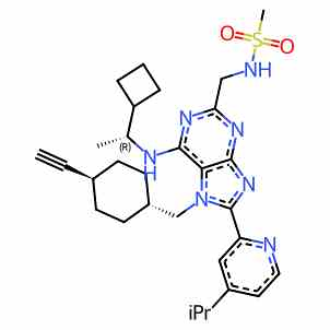 C#C[C@H]1CC[C@H](Cn2c(-c3cc(C(C)C)ccn3)nc3nc(CNS(C)(=O)=O)nc(N[C@H](C)C4CCC4)c32)CC1